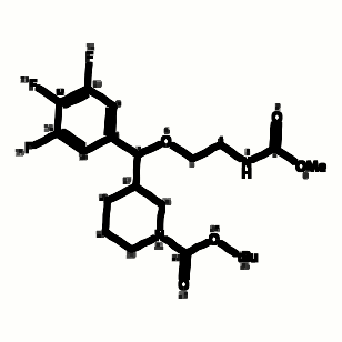 COC(=O)NCCOC(c1cc(F)c(F)c(F)c1)C1CCCN(C(=O)OC(C)(C)C)C1